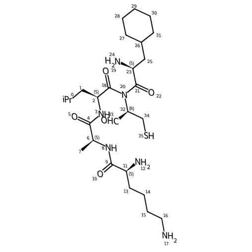 CC(C)C[C@H](NC(=O)[C@H](C)NC(=O)[C@@H](N)CCCCN)C(=O)N(C(=O)[C@@H](N)CC1CCCCC1)[C@H]([C]=O)CS